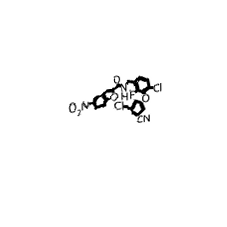 N#Cc1cc(Cl)cc(Oc2c(Cl)ccc(CNC(=O)c3cc4cc([N+](=O)[O-])ccc4o3)c2F)c1